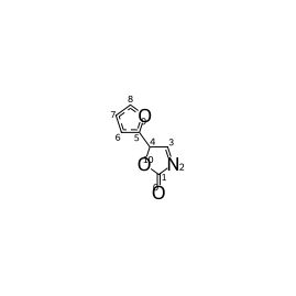 O=C1N=CC(c2ccco2)O1